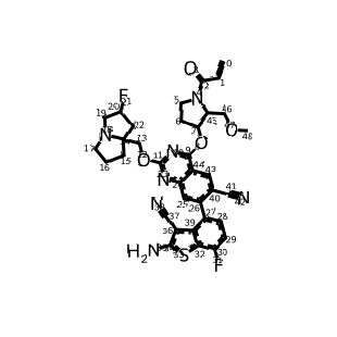 C=CC(=O)N1CCC(Oc2nc(OCC34CCCN3CC(F)C4)nc3cc(-c4ccc(F)c5sc(N)c(C#N)c45)c(C#N)cc23)C1COC